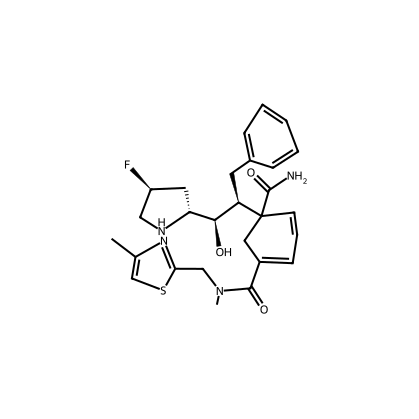 Cc1csc(CN(C)C(=O)C2=CC=CC(C(N)=O)([C@H](Cc3ccccc3)[C@@H](O)[C@H]3C[C@H](F)CN3)C2)n1